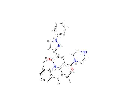 CCc1cccc(CC)c1-n1c(CC(C)C)c(C(=O)N2CCNCC2)cc(-c2ccn(-c3ccccc3)n2)c1=O